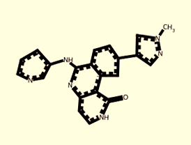 Cn1cc(-c2ccc3c(Nc4cccnc4)nc4cc[nH]c(=O)c4c3c2)cn1